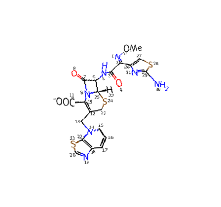 CON=C(C(=O)NC1C(=O)N2C(C(=O)[O-])=C(C[n+]3cccc4ncsc43)CS[C@@H]12)c1csc(N)n1